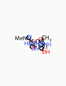 CNc1cncc(C(=O)N[C@H]2CCOC(CNC3CC(O)=CC(C(=N)N4C[C@H](C)O[C@@H](C)C4)=C3C)[C@H]2N)c1